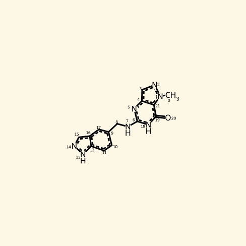 Cn1ncc2nc(NCc3ccc4[nH]ncc4c3)[nH]c(=O)c21